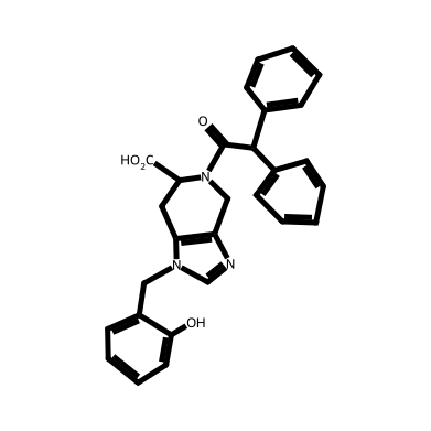 O=C(O)C1Cc2c(ncn2Cc2ccccc2O)CN1C(=O)C(c1ccccc1)c1ccccc1